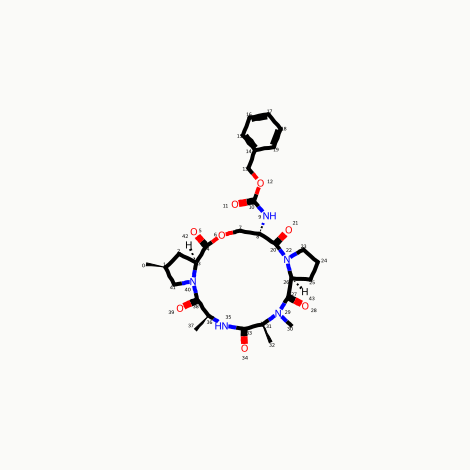 C[C@H]1C[C@H]2C(=O)OC[C@H](NC(=O)OCc3ccccc3)C(=O)N3CCC[C@H]3C(=O)N(C)[C@@H](C)C(=O)N[C@@H](C)C(=O)N2C1